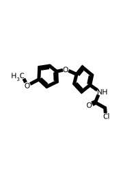 COc1ccc(Oc2ccc(NC(=O)CCl)cc2)cc1